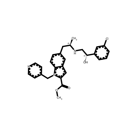 COC(=O)c1cc2cc(C[C@@H](C)NC[C@@H](O)c3cccc(Cl)c3)ccc2n1Cc1ccncc1